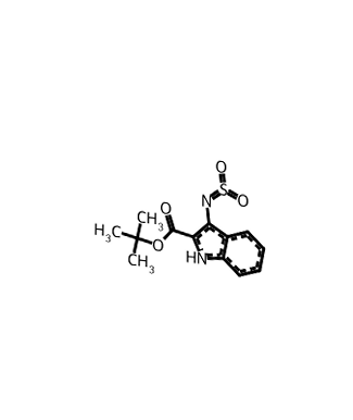 CC(C)(C)OC(=O)c1[nH]c2ccccc2c1N=S(=O)=O